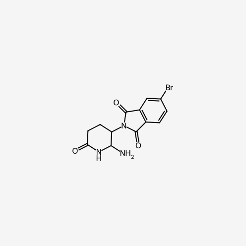 NC1NC(=O)CCC1N1C(=O)c2ccc(Br)cc2C1=O